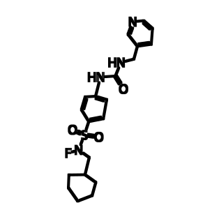 O=C(NCc1cccnc1)Nc1ccc(S(=O)(=O)N(F)CC2CCCCC2)cc1